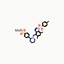 CNS(=O)(=O)c1ccc(C2CCCCN2Cc2c(C)cc(C)c3c2ccn3S(=O)(=O)c2ccc(C)cc2)cc1